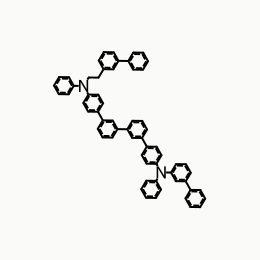 c1ccc(-c2cccc(CCN(c3ccccc3)c3ccc(-c4cccc(-c5cccc(-c6ccc(N(c7ccccc7)c7cccc(-c8ccccc8)c7)cc6)c5)c4)cc3)c2)cc1